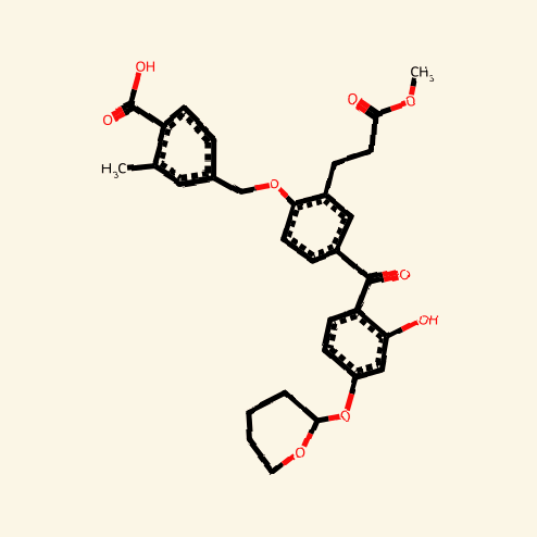 COC(=O)CCc1cc(C(=O)c2ccc(OC3CCCCO3)cc2O)ccc1OCc1ccc(C(=O)O)c(C)c1